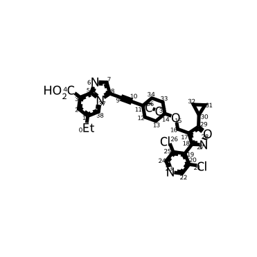 CCc1cc(C(=O)O)c2ncc(C#CC34CCC(OCc5c(-c6c(Cl)cncc6Cl)noc5C5CC5)(CC3)CC4)n2c1